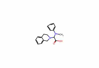 CN(c1ccccc1)C(C(=O)O)N1CCc2ccccc2C1